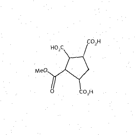 COC(=O)C1C(C(=O)O)CC(C(=O)O)C1C(=O)O